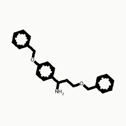 NC(CCOCc1ccccc1)c1ccc(OCc2ccccc2)cc1